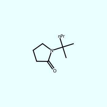 CCCC(C)(C)N1CCCC1=O